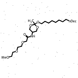 CCCCCCCCCCCCCCCCCCOC1(C)OCC(NC(=O)COCCOCCOC)CO1